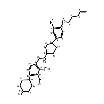 C=CCCCOc1ccc(C2CCC(OCc3ccc(C4CCC(C)CC4)c(F)c3F)CC2)cc1F